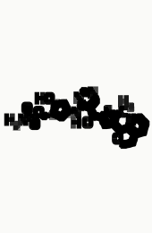 Cc1sc(C(=O)c2cncnc2N[C@@H]2C[C@H](COS(N)(=O)=O)[C@@H](O)C2)cc1C1OCCc2cccnc21